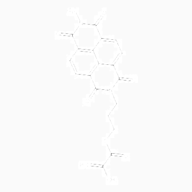 C=C(C)C(=O)OCCCN1C(=O)c2ccc3c4c(ccc(c24)C1=O)C(=O)N(C)C3=O